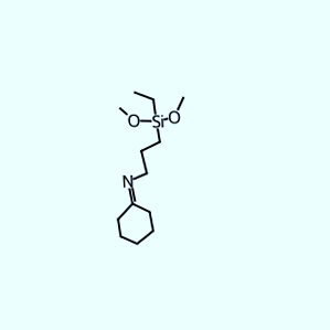 CC[Si](CCCN=C1CCCCC1)(OC)OC